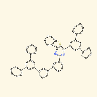 c1ccc(-c2cc(-c3ccccc3)cc(-c3cccc(-c4cccc(-c5nc(-c6cc(-c7ccccc7)cc(-c7ccccc7)c6)c6sc7ccccc7c6n5)c4)c3)c2)cc1